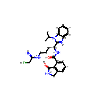 CC(C)n1c([C@H](CCCNC(=N)CF)NC(=O)c2cccc3c2C(=O)NC3)nc2ccccc21